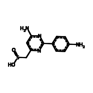 Nc1ccc(-c2nc(N)cc(CS(=O)O)n2)cc1